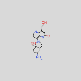 COc1cc(CCO)c2nccc(N3CCC4CC(N)CCC4(CO)C3)c2n1